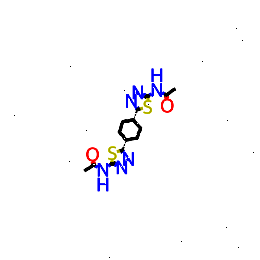 CC(=O)Nc1nnc([C@H]2CC[C@@H](c3nnc(NC(C)=O)s3)CC2)s1